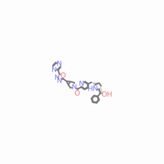 O=C(c1ccc(C[C@@H]2CC[C@H]([C@H](O)c3ccccc3)N2)cn1)N1CC2C(C1)C2c1nnc(-c2cnccn2)o1